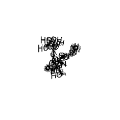 CC(=O)NC1C(OCCOCCNC(=O)C(C)(CC(C)(C#N)CCC(=O)OCCSSc2ccccn2)CC(C)(SC(=S)c2ccccc2)C(=O)NCC(C)O)OC(CO)C(O)C1O